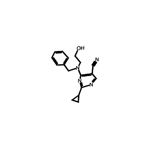 N#Cc1cnc(C2CC2)nc1N(CCO)Cc1ccccc1